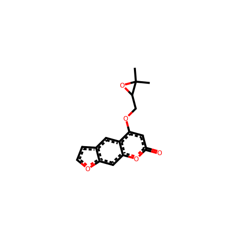 CC1(C)OC1COc1cc(=O)oc2cc3occc3cc12